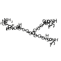 CC[C@@H](C)[C@](C)(/C=C/F)C(C)Nc1ccc(SNCCOCCOCCOc2cc(OCCOCCOCCN[S+]([O-])c3ccc(NC(C)[C@@](C)(/C=C/F)[C@H](C)CC)cc3)cc(OCCOCCOCCNS(=O)(=O)c3ccc(Nc4c(F)cc(/C=C(\C)C(=O)N=C(N)N)cc4F)cc3)c2)cc1